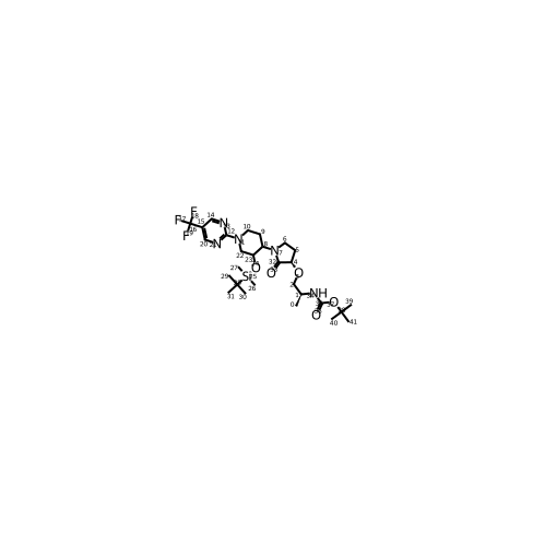 C[C@@H](CO[C@@H]1CCN(C2CCN(c3ncc(C(F)(F)F)cn3)CC2O[Si](C)(C)C(C)(C)C)C1=O)NC(=O)OC(C)(C)C